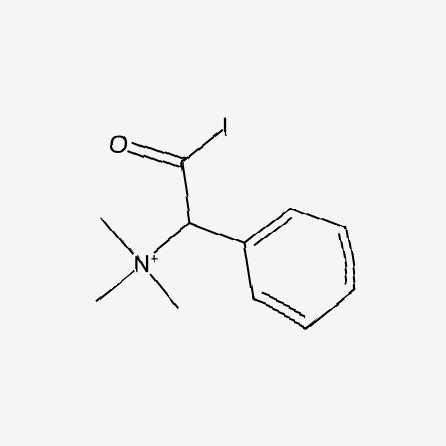 C[N+](C)(C)C(C(=O)I)c1ccccc1